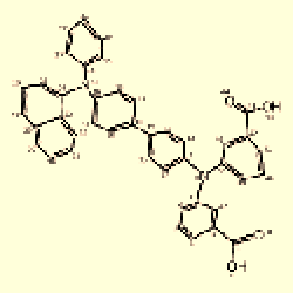 O=C(O)c1cccc(N(c2ccc(-c3ccc(N(c4ccccc4)c4cccc5ccccc45)cc3)cc2)c2cccc(C(=O)O)c2)c1